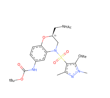 COc1c(S(=O)(=O)N2C[C@H](CNC(C)=O)Oc3ccc(NC(=O)OC(C)(C)C)cc32)c(C)nn1C